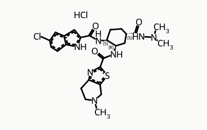 CN1CCc2nc(C(=O)N[C@@H]3C[C@@H](C(=O)NN(C)C)CC[C@@H]3NC(=O)c3cc4cc(Cl)ccc4[nH]3)sc2C1.Cl